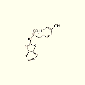 O=C(O)[C@H](Cc1ccc(O)cc1)Nc1nc2ccccc2o1